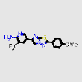 COc1ccc(-c2nn3cc(-c4cnc(N)c(C(F)(F)F)c4)nc3s2)cc1